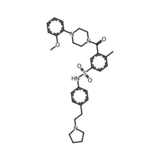 COc1ccccc1N1CCN(C(=O)c2cc(S(=O)(=O)Nc3ccc(CCN4CCCC4)cc3)ccc2C)CC1